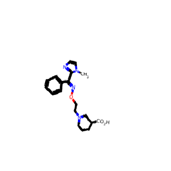 Cn1ccnc1/C(=N/OCCN1CCCC(C(=O)O)C1)c1ccccc1